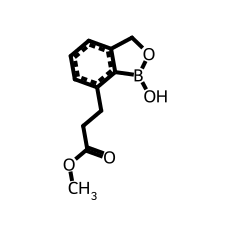 COC(=O)CCc1cccc2c1B(O)OC2